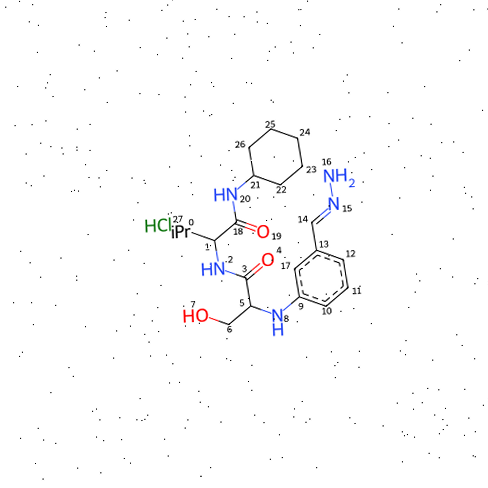 CC(C)C(NC(=O)C(CO)Nc1cccc(C=NN)c1)C(=O)NC1CCCCC1.Cl